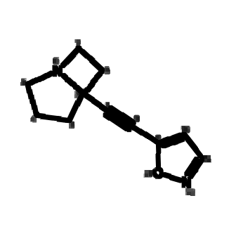 C(#CC12CCCN1CC2)c1ccno1